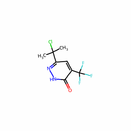 CC(C)(Cl)c1cc(C(F)(F)F)c(=O)[nH]n1